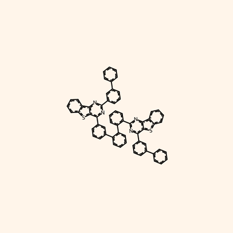 c1ccc(-c2cccc(-c3nc(-c4cccc(-c5ccccc5-c5ccccc5-c5nc(-c6cccc(-c7ccccc7)c6)c6sc7ccccc7c6n5)c4)c4sc5ccccc5c4n3)c2)cc1